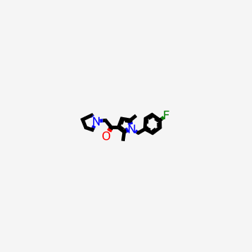 Cc1cc(C(=O)CN2CCCC2)c(C)n1Cc1ccc(F)cc1